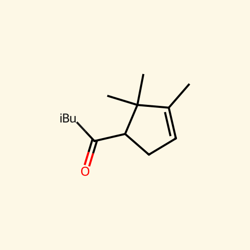 CCC(C)C(=O)C1CC=C(C)C1(C)C